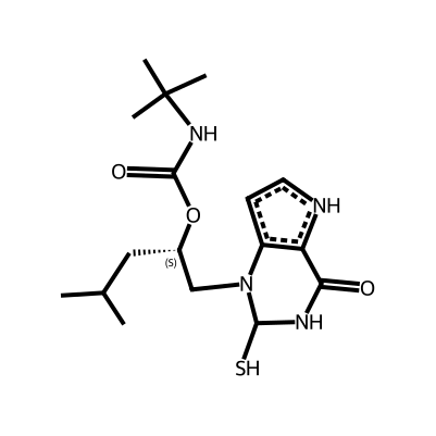 CC(C)C[C@@H](CN1c2cc[nH]c2C(=O)NC1S)OC(=O)NC(C)(C)C